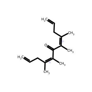 C=CC/C(C)=C(/C)C(=O)/C(C)=C(/C)CC=C